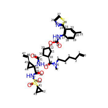 C=CCCCCN(C)C(=O)[C@@H]1C[C@H](OC(=O)Nc2ccc(C)cc2-c2nccs2)C[C@H]1C(=O)N[C@]1(C(=O)NS(=O)(=O)C2CC2)C[C@H]1C=C